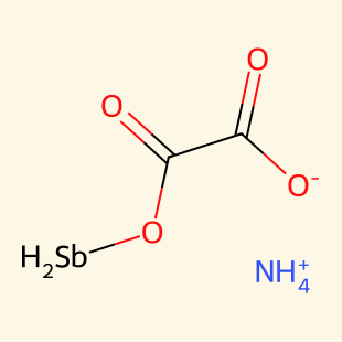 O=C([O-])C(=O)[O][SbH2].[NH4+]